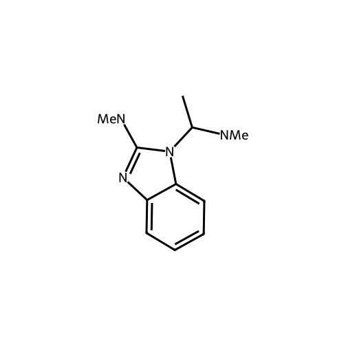 CNc1nc2ccccc2n1C(C)NC